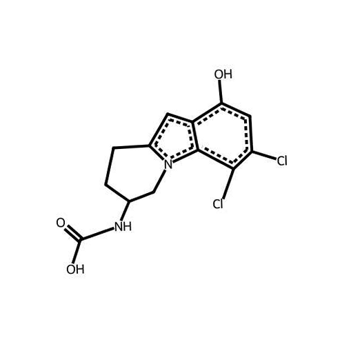 O=C(O)NC1CCc2cc3c(O)cc(Cl)c(Cl)c3n2C1